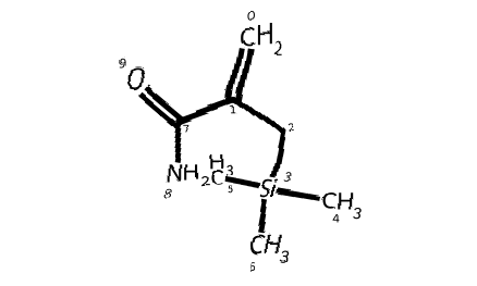 C=C(C[Si](C)(C)C)C(N)=O